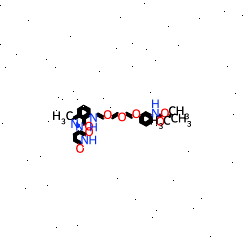 Cc1nn(C2CCC(=O)NC2=O)c(=O)c2c(NCCOCCOCCOc3cccc(NC(=O)OC(C)(C)C)c3)cccc12